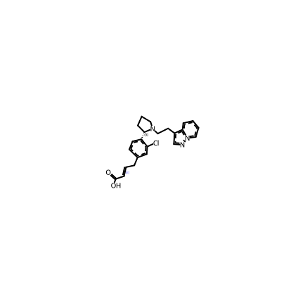 O=C(O)/C=C/Cc1ccc([C@@H]2CCCN2CCc2cnn3ccccc23)c(Cl)c1